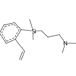 C=Cc1ccccc1[Si](C)(C)CCCN(C)C